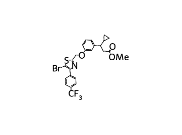 COC(=O)CC(c1cccc(OCc2nc(-c3ccc(C(F)(F)F)cc3)c(Br)s2)c1)C1CC1